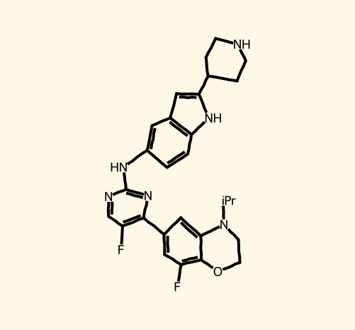 CC(C)N1CCOc2c(F)cc(-c3nc(Nc4ccc5[nH]c(C6CCNCC6)cc5c4)ncc3F)cc21